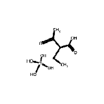 CCC(C(C)=O)C(=O)O.[OH][Ti]([OH])([OH])[OH]